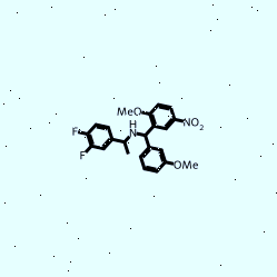 COc1cccc(C(NC(C)c2ccc(F)c(F)c2)c2cc([N+](=O)[O-])ccc2OC)c1